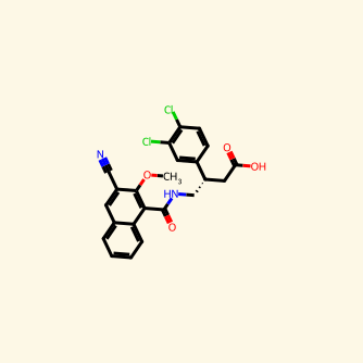 COc1c(C#N)cc2ccccc2c1C(=O)NC[C@@H](CC(=O)O)c1ccc(Cl)c(Cl)c1